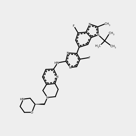 Cc1nc2c(F)cc(-c3nc(Nc4ccc5c(n4)CCN(C[C@@H]4CNCCO4)C5)ncc3F)cc2n1C(C)(C)C